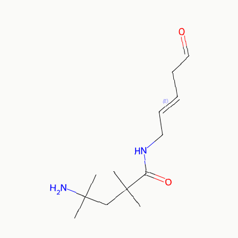 CC(C)(N)CC(C)(C)C(=O)NC/C=C/CC=O